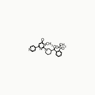 Cn1c(N2CCCC(C(=O)c3ccccc3S(C)(=O)=O)C2)nc(-c2ccncc2)cc1=O